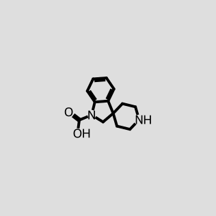 O=C(O)N1CC2(CCNCC2)c2ccccc21